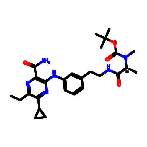 CCc1nc(C(N)=O)c(Nc2cccc(CCNC(=O)[C@@H](C)N(C)C(=O)OC(C)(C)C)c2)nc1C1CC1